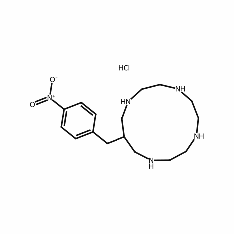 Cl.O=[N+]([O-])c1ccc(CC2CNCCNCCNCCNC2)cc1